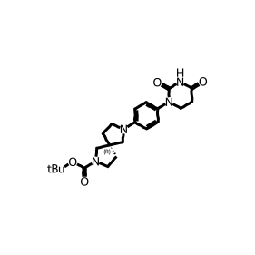 CC(C)(C)OC(=O)N1CC[C@@]2(CCN(c3ccc(N4CCC(=O)NC4=O)cc3)C2)C1